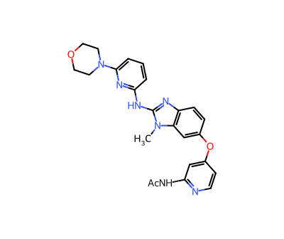 CC(=O)Nc1cc(Oc2ccc3nc(Nc4cccc(N5CCOCC5)n4)n(C)c3c2)ccn1